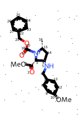 COC(=O)[C@H]1[C@@H](NCc2ccc(OC)cc2)C[C@@H](C)N1C(=O)OCc1ccccc1